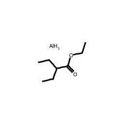 CCOC(=O)C(CC)CC.[AlH3]